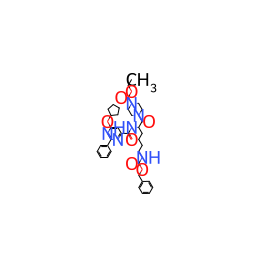 CCOC(=O)N1CCN(C(=O)C(CCCCNC(=O)OCc2ccccc2)NC(=O)c2cc(OC3CCCC3)nc(-c3ccccc3)n2)CC1